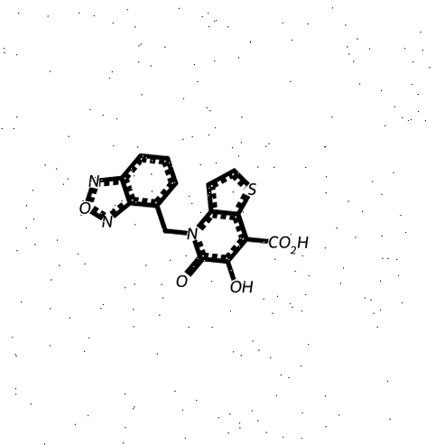 O=C(O)c1c(O)c(=O)n(Cc2cccc3nonc23)c2ccsc12